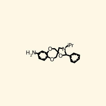 CC(C)N1CC2(COc3ccc(N)cc3OC2)OC1c1ccccc1